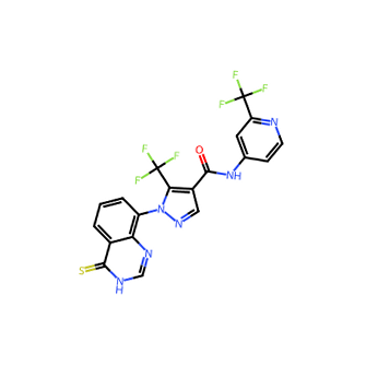 O=C(Nc1ccnc(C(F)(F)F)c1)c1cnn(-c2cccc3c(=S)[nH]cnc23)c1C(F)(F)F